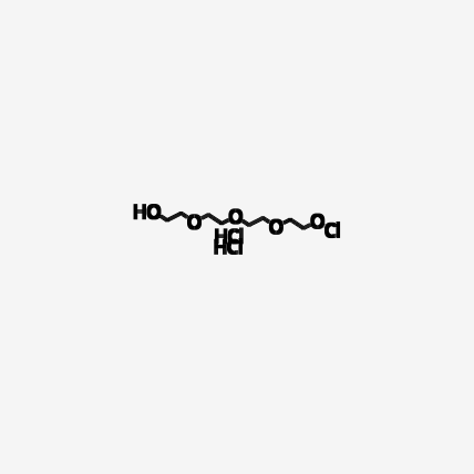 Cl.Cl.OCCOCCOCCOCCOCl